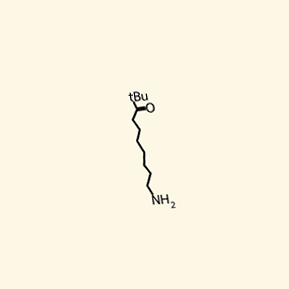 CC(C)(C)C(=O)CCCCCCCN